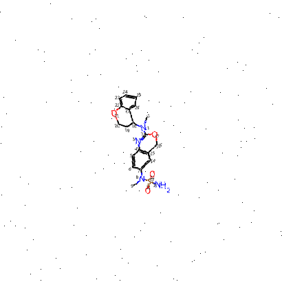 CN(C1=Nc2ccc(N(C)S(N)(=O)=O)cc2CO1)C1CCOc2ccccc21